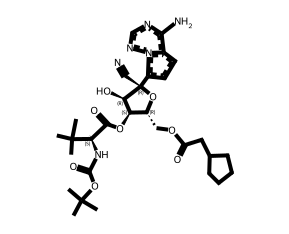 CC(C)(C)OC(=O)N[C@H](C(=O)O[C@H]1[C@@H](O)[C@](C#N)(c2ccc3c(N)ncnn23)O[C@@H]1COC(=O)CC1CCCC1)C(C)(C)C